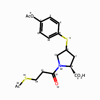 CC(=O)Oc1ccc(SC2C[C@@H](C(=O)O)N(C(=O)CCSC(C)=O)C2)cc1